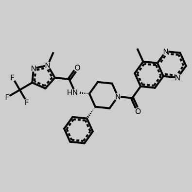 Cc1cc(C(=O)N2CC[C@@H](NC(=O)c3cc(C(F)(F)F)nn3C)[C@@H](c3ccccc3)C2)cc2nccnc12